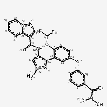 CN(C)C(=O)c1cccc(Oc2ccc(OC(F)F)c(-c3nn(C)cc3NC(=O)c3cnn4cccnc34)c2)c1